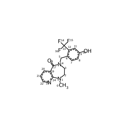 CN1CCN(Cc2ccc(O)cc2C(F)(F)F)C(=O)c2cccnc21